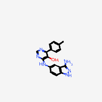 Cc1ccc(-c2ncnc(Nc3ccc4[nH]nc(N)c4c3)c2O)cc1